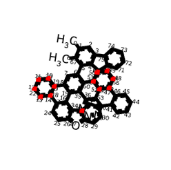 Cc1cc2c(c(-c3cc(-c4ccccc4)c(-c4c(-c5ccccc5)ccc5oc6ccccc6c45)c(-c4nnnc(-c5ccccc5-c5ccccc5)c4-c4ccccc4)c3-c3ccccc3)c1C)Cc1ccccc1-2